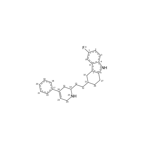 Fc1ccc2[nH]c3c(c2c1)CC(CCC1CC(c2ccccc2)=CCN1)CC3